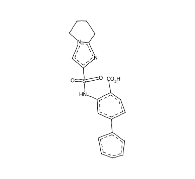 O=C(O)c1ccc(-c2ccccc2)cc1NS(=O)(=O)c1cn2c(n1)CCCC2